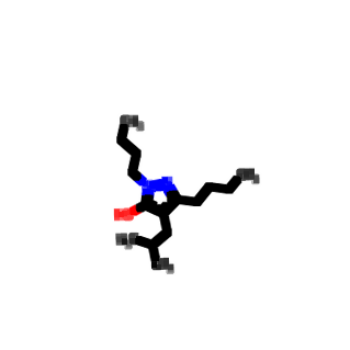 CCCCc1nn(CCCC)c(O)c1CC(C)C